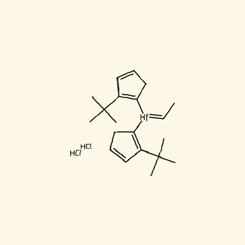 C[CH]=[Hf]([C]1=C(C(C)(C)C)C=CC1)[C]1=C(C(C)(C)C)C=CC1.Cl.Cl